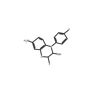 Nc1ccc2c(c1)OC(F)C(O)N2c1ccc(F)cc1